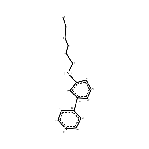 CCCCCCNc1cccc(-c2ccncc2)c1